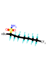 CCCCC(F)(C(F)(F)C(F)(F)C(F)(F)C(F)(F)C(F)(F)C(F)(F)C(F)(F)F)S(N)(=O)=O